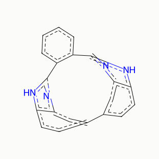 c1ccc2c(c1)-c1nc3cc(ccc3[nH]1)-c1ccc3[nH]c-2nc3c1